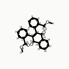 COC(=O)c1ccccc1C1=C(c2ccccc2C(=O)OC)C(=O)c2ccccc2C1=O